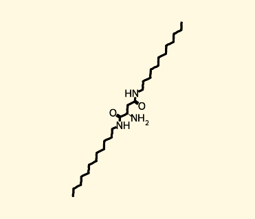 CCCCCCCCCCCCNC(=O)C[C@H](N)C(=O)NCCCCCCCCCCCC